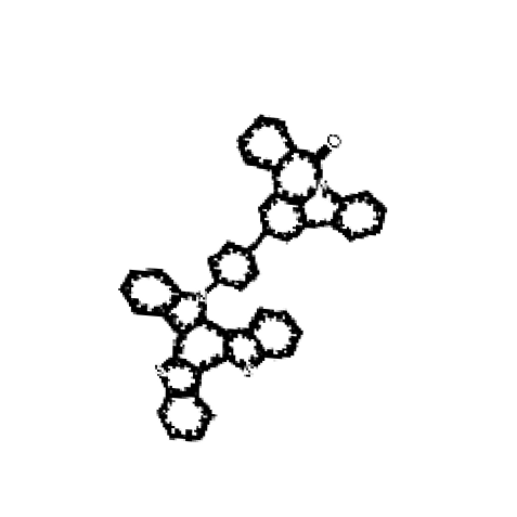 O=c1c2ccccc2c2cc(-c3ccc(-n4c5ccccc5c5c6sc7ccccc7c6c6sc7ccccc7c6c54)cc3)cc3c4ccccc4n1c23